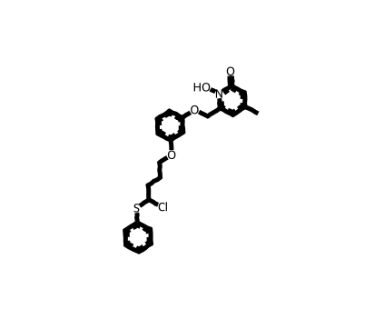 Cc1cc(COc2cccc(OCCCC(Cl)Sc3ccccc3)c2)n(O)c(=O)c1